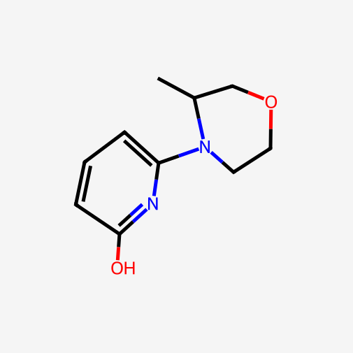 CC1COCCN1c1cccc(O)n1